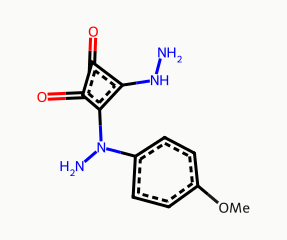 COc1ccc(N(N)c2c(NN)c(=O)c2=O)cc1